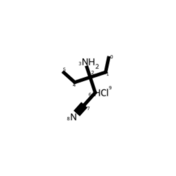 CCC(N)(CC)CC#N.Cl